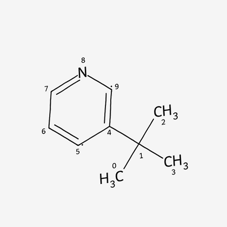 CC(C)(C)c1[c]ccn[c]1